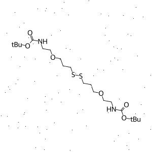 CC(C)(C)OC(=O)NCCOCCCSSCCCOCCNC(=O)OC(C)(C)C